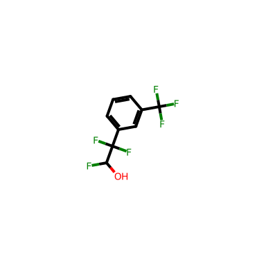 OC(F)C(F)(F)c1cccc(C(F)(F)F)c1